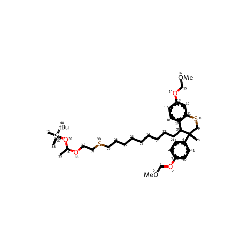 COCOc1ccc(C2(C)CSc3cc(OCOC)ccc3C2CCCCCCCCCSCCOC(C)O[Si](C)(C)C(C)(C)C)cc1